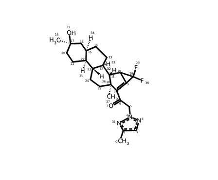 Cc1cnn(CC(=O)C2=C3C([C@H]4[C@@H]5CC[C@@H]6C[C@](C)(O)CC[C@@H]6[C@H]5CC[C@]24C)C3(F)F)n1